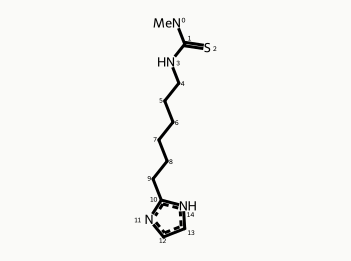 CNC(=S)NCCCCCCc1ncc[nH]1